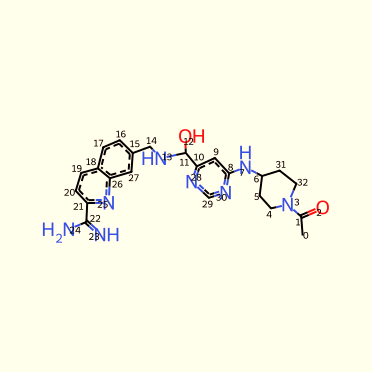 CC(=O)N1CCC(Nc2cc(C(O)NCc3ccc4ccc(C(=N)N)nc4c3)ncn2)CC1